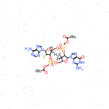 C[C@H]1C2COP(=O)(SCOC(=O)C(C)(C)C)OC3C(F)C(n4cnc5c(N)ncnc54)O[C@@H]3COP(=O)(SCOC(=O)C(C)(C)C)OC1C(n1cnc3c(=O)[nH]c(N)nc31)O2